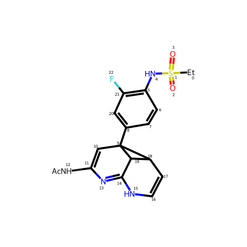 CCS(=O)(=O)Nc1ccc(C23C=C(NC(C)=O)N=C4NC=CC2C43)cc1F